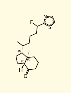 CC(CCCC(F)c1nccs1)[C@H]1CC[C@H]2C(=O)CCC[C@]12C